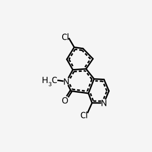 Cn1c(=O)c2c(Cl)nccc2c2ccc(Cl)cc21